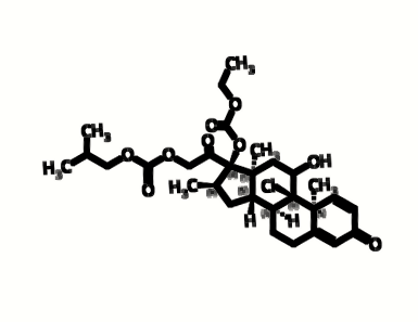 CCOC(=O)O[C@]1(C(=O)COC(=O)OCC(C)C)[C@H](C)C[C@H]2[C@@H]3CCC4=CC(=O)C=C[C@]4(C)[C@@]3(Cl)C(O)C[C@@]21C